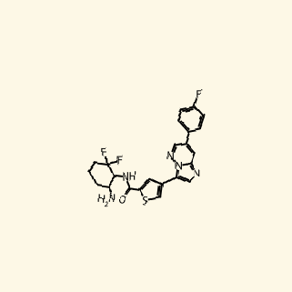 NC1CCCC(F)(F)C1NC(=O)c1cc(-c2cnc3cc(-c4ccc(F)cc4)cnn23)cs1